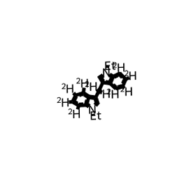 [2H]c1c([2H])c([2H])c2c(c(C([2H])([2H])c3cn(CC)c4c([2H])c([2H])c([2H])c([2H])c34)cn2CC)c1[2H]